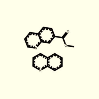 COC(=O)c1ccc2cccnc2c1.c1ccc2ncccc2c1